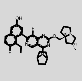 CCc1c(F)ccc2cc(O)cc(-c3ncc4c(N5C6CCC5CC6)nc(OC[C@@]56CCCN5C[C@H](C)C6)nc4c3F)c12